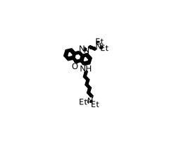 CCN(CC)CCCCCCCNc1ccc2c3c(nn2CCN(CC)CC)-c2ccccc2C(=O)c13